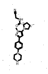 C[C@H]1C[C@@H](C(=O)NCC#N)N(c2cc(-c3ccc(N4CCNCC4)cc3)nn2C)C1